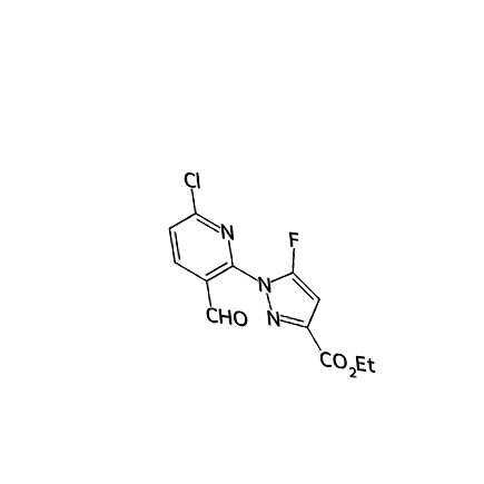 CCOC(=O)c1cc(F)n(-c2nc(Cl)ccc2C=O)n1